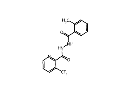 Cc1ccccc1C(=O)NNC(=O)c1ncccc1C(F)(F)F